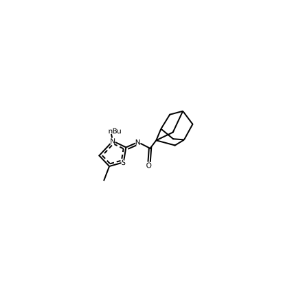 CCCCn1cc(C)s/c1=N\C(=O)C12CC3CC(CC1C3)C2